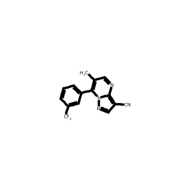 Cc1cnc2c(C#N)cnn2c1-c1cccc(C(F)(F)F)c1